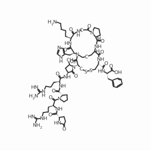 CC1C[C@H](NC(=O)[C@H](CCCNC(=N)N)NC(=O)[C@@H]2CCCN2C(=O)[C@H](CCCNC(=N)N)NC(=O)[C@@H]2CCC(=O)N2)C(=O)N1[C@H]1CSSC[C@@H](C(=O)N[C@@H](Cc2ccccc2)C(=O)O)NC(=O)[C@@H]2CCCN(C1=O)[C@@H](Cc1cnc[nH]1)C(=O)N[C@@H](CCCCN)C(=O)NCC(=O)N1CCC[C@H]1C(=O)N2